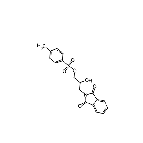 Cc1ccc(S(=O)(=O)OCC(O)CN2C(=O)c3ccccc3C2=O)cc1